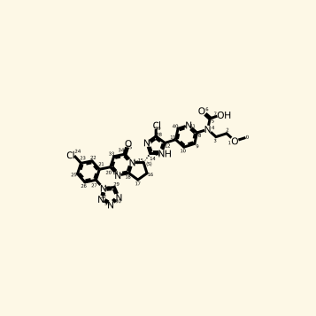 COCCN(C(=O)O)c1ccc(-c2[nH]c([C@@H]3CCc4nc(-c5cc(Cl)ccc5-n5cnnn5)cc(=O)n43)nc2Cl)cn1